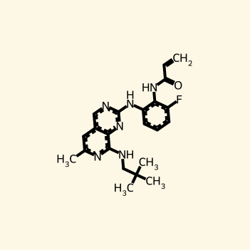 C=CC(=O)Nc1c(F)cccc1Nc1ncc2cc(C)nc(NCC(C)(C)C)c2n1